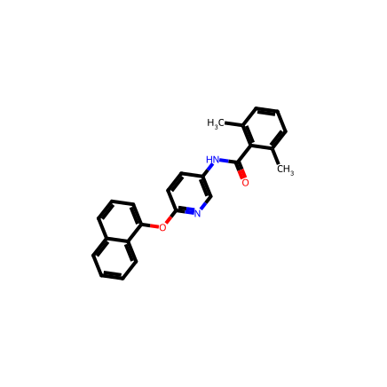 Cc1cccc(C)c1C(=O)Nc1ccc(Oc2cccc3ccccc23)nc1